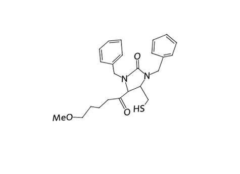 COCCCCC(=O)C1C(CS)N(Cc2ccccc2)C(=O)N1Cc1ccccc1